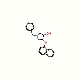 OC1CN(Cc2ccccc2)CC1Oc1cccc2ccccc12